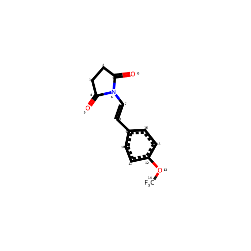 O=C1CCC(=O)N1C=Cc1ccc(OC(F)(F)F)cc1